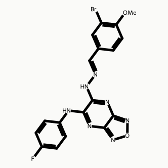 COc1ccc(C=NNc2nc3nonc3nc2Nc2ccc(F)cc2)cc1Br